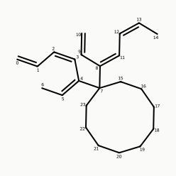 C=C/C=C\C(=C/C)C1(/C(C=C)=C/C=C\C)CCCCCCCCC1